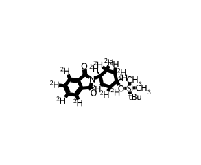 [2H]c1c([2H])c([2H])c2c(c1[2H])C(=O)N([C@]1([2H])C([2H])C([2H])([2H])[C@@]([2H])(O[Si](C)(C)C(C)(C)C)C([2H])([2H])C1([2H])[2H])C2=O